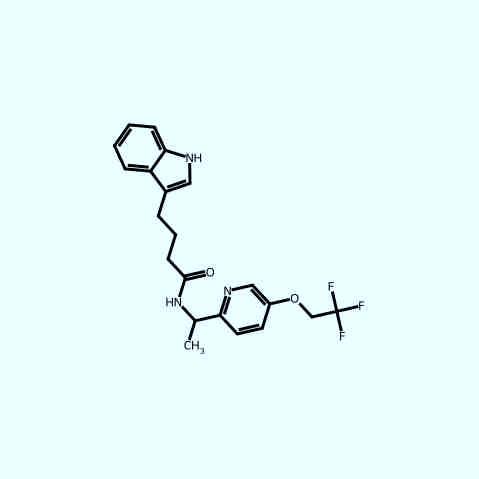 CC(NC(=O)CCCc1c[nH]c2ccccc12)c1ccc(OCC(F)(F)F)cn1